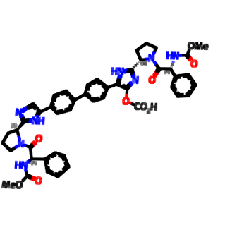 COC(=O)N[C@@H](C(=O)N1CCC[C@H]1c1ncc(-c2ccc(-c3ccc(-c4[nH]c([C@@H]5CCCN5C(=O)[C@H](NC(=O)OC)c5ccccc5)nc4OC(=O)O)cc3)cc2)[nH]1)c1ccccc1